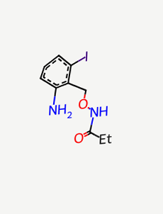 CCC(=O)NOCc1c(N)cccc1I